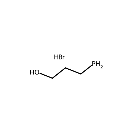 Br.OCCCP